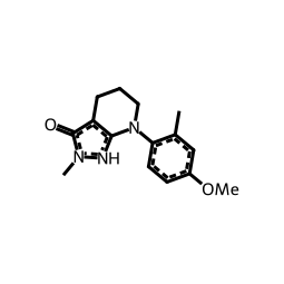 COc1ccc(N2CCCc3c2[nH]n(C)c3=O)c(C)c1